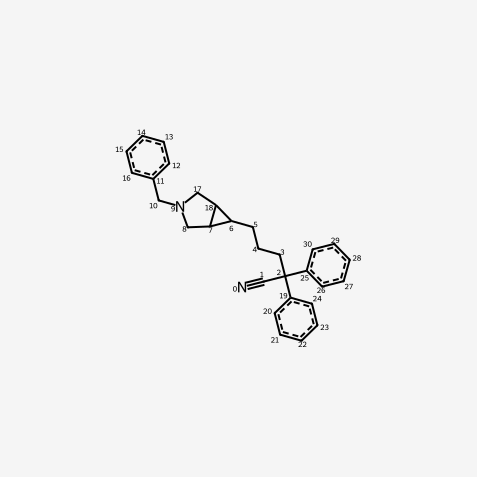 N#CC(CCCC1C2CN(Cc3ccccc3)CC12)(c1ccccc1)c1ccccc1